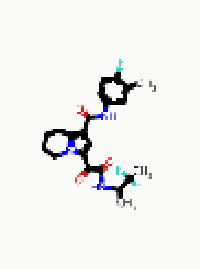 Cc1cc(NC(=O)c2cc(C(=O)C(=O)NC(C)C(C)(F)F)n3c2CCCC3)ccc1F